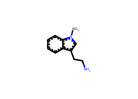 NCCc1cn([N+](=O)[O-])c2ccccc12